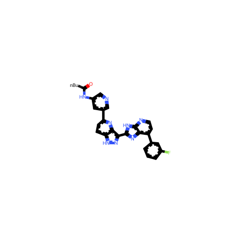 CCCCC(=O)Nc1cncc(-c2ccc3[nH]nc(-c4nc5c(-c6cccc(F)c6)ccnc5[nH]4)c3n2)c1